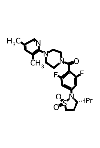 Cc1cnc(N2CCN(C(=O)c3c(F)cc(N4[C@H](C(C)C)CCS4(=O)=O)cc3F)CC2)c(C)c1